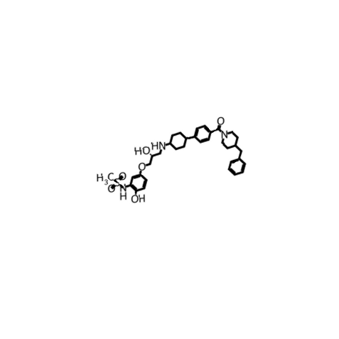 CS(=O)(=O)Nc1cc(OC[C@H](O)CNC2CCC(c3ccc(C(=O)N4CCC(Cc5ccccc5)CC4)cc3)CC2)ccc1O